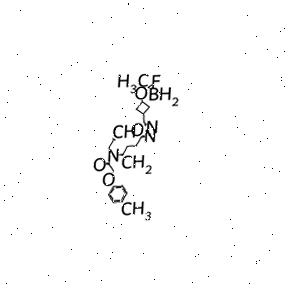 BC(C)(F)OC1CC(c2nnc(CCC(=C)N(CC#C)C(=O)COc3ccc(C)cc3)o2)C1